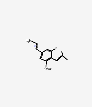 COc1cc(/C=C/[N+](=O)[O-])cc(F)c1C=C(C)C